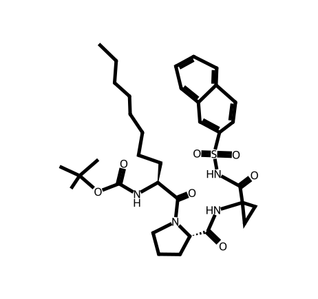 CCCCCCCC[C@H](NC(=O)OC(C)(C)C)C(=O)N1CCC[C@H]1C(=O)NC1(C(=O)NS(=O)(=O)c2ccc3ccccc3c2)CC1